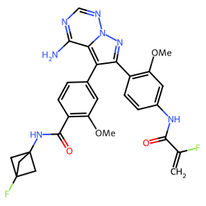 C=C(F)C(=O)Nc1ccc(-c2nn3ncnc(N)c3c2-c2ccc(C(=O)NC34CC(F)(C3)C4)c(OC)c2)c(OC)c1